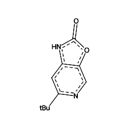 CC(C)(C)c1cc2[nH]c(=O)oc2cn1